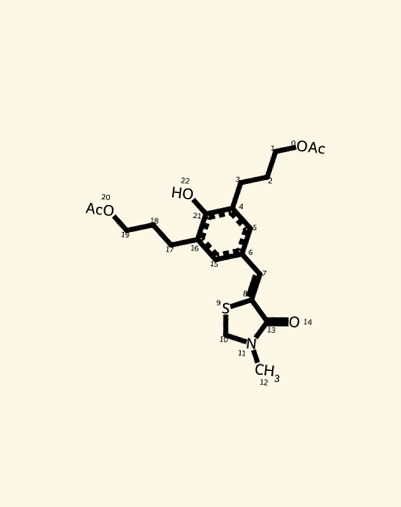 CC(=O)OCCCc1cc(/C=C2\SCN(C)C2=O)cc(CCCOC(C)=O)c1O